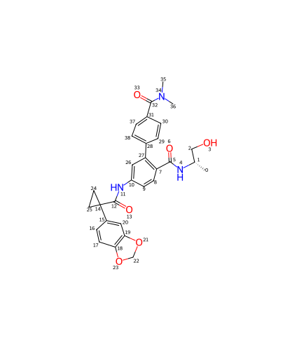 C[C@@H](CO)NC(=O)c1ccc(NC(=O)C2(c3ccc4c(c3)OCO4)CC2)cc1-c1ccc(C(=O)N(C)C)cc1